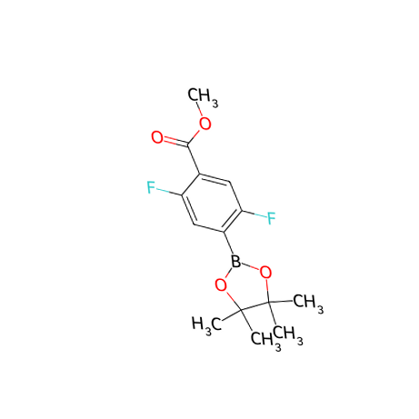 COC(=O)c1cc(F)c(B2OC(C)(C)C(C)(C)O2)cc1F